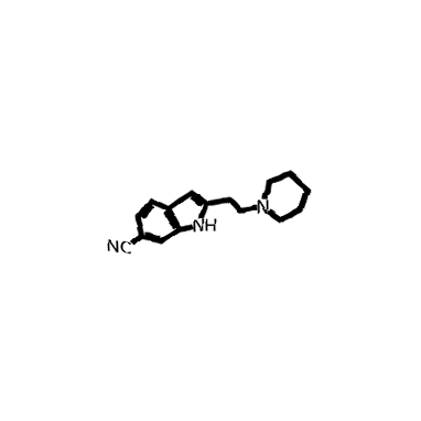 N#Cc1ccc2cc(CCN3CCCCC3)[nH]c2c1